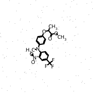 COC(=O)C(C)Oc1ccc(N(C)c2ccc(C(F)(F)F)cc2[N+](=O)[O-])cc1